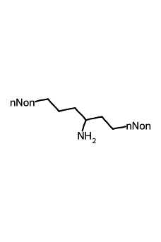 CCCCCCCCCCCCC(N)CCCCCCCCCCC